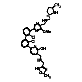 C=C1CC[C@@H](CNCc2ncc(-c3cccc(-c4cccc(-c5ccc(CNCC6=NC(=C)ON6)c(O)n5)c4Cl)c3Cl)nc2OC)N1